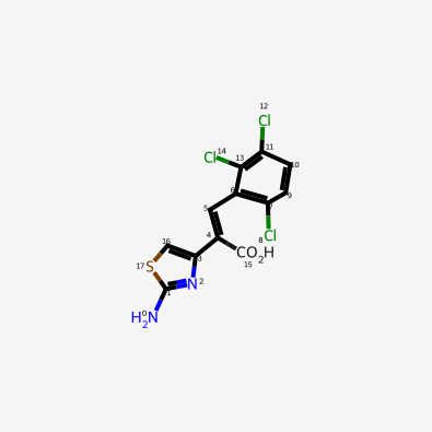 Nc1nc(/C(=C/c2c(Cl)ccc(Cl)c2Cl)C(=O)O)cs1